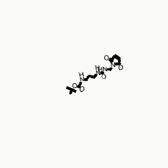 CC(C)(C)OC(=O)NCCCNC(=O)NCN1C(=O)C=CC1=O